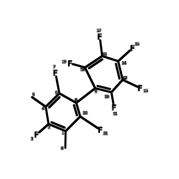 Cc1c(F)c(C)c(F)c(-c2c(F)c(F)c(F)c(F)c2F)c1F